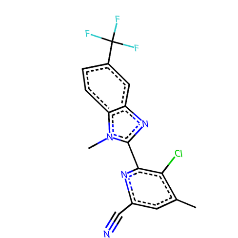 Cc1cc(C#N)nc(-c2nc3cc(C(F)(F)F)ccc3n2C)c1Cl